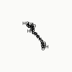 C=CCn1c(=O)c2cnc(Nc3ccc4c(c3)CCN(C3CCN(C5CN(c6ccc7c(c6)CN(C6CCC(=O)NC6=O)C7=O)C5)CC3)C4)nc2n1-c1ccc2c(n1)[C@@](O)(CC)CC2